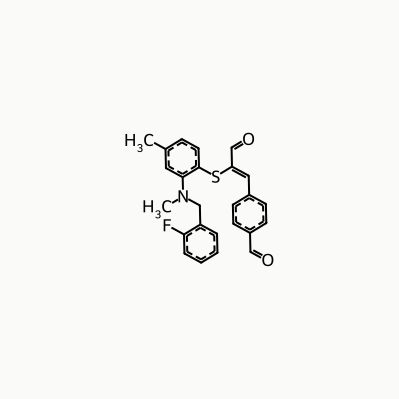 Cc1ccc(S/C(C=O)=C\c2ccc(C=O)cc2)c(N(C)Cc2ccccc2F)c1